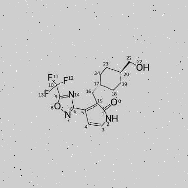 O=c1[nH]ccc(-c2noc(C(F)(F)F)n2)c1C[C@H]1CC[C@H](CO)CC1